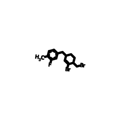 Cc1ccc(CC2C=C(Br)C(CBr)CC2)cc1F